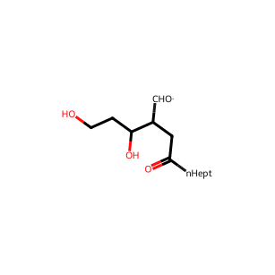 CCCCCCCC(=O)CC([C]=O)C(O)CCO